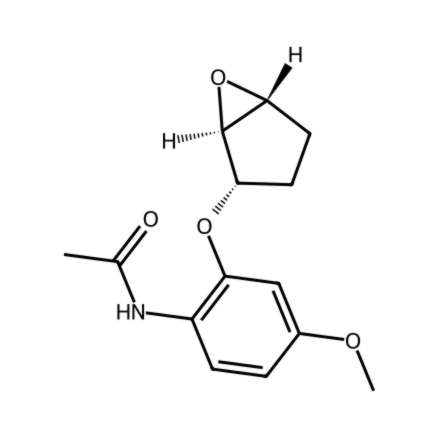 COc1ccc(NC(C)=O)c(O[C@H]2CC[C@H]3O[C@H]23)c1